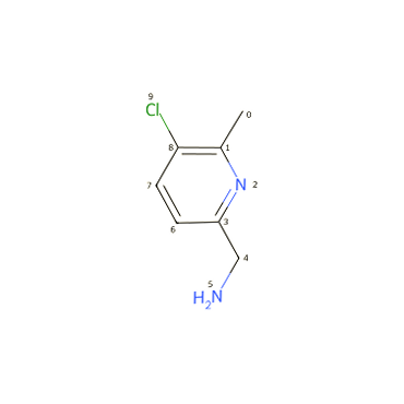 Cc1nc(CN)ccc1Cl